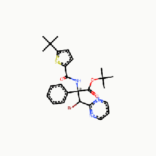 CC(C)(C)OC(=O)[C@@](NC(=O)c1ccc(C(C)(C)C)s1)(c1ccccc1)C(Br)c1ncccn1